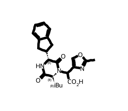 CC[C@@H](C)[C@@H]1C(=O)N[C@H](C2Cc3ccccc3C2)C(=O)N1C(C(=O)O)c1coc(C)n1